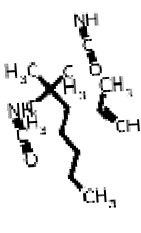 C=CC.CCCCCC(C)(C)C.N=C=O.N=C=O